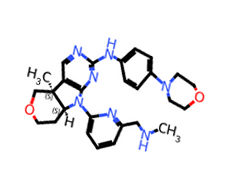 CNCc1cccc(N2c3nc(Nc4ccc(N5CCOCC5)cc4)ncc3[C@]3(C)COCC[C@H]23)n1